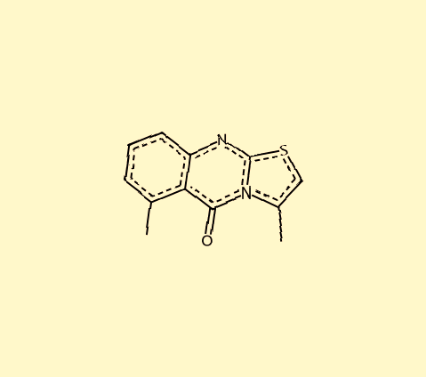 Cc1cccc2nc3scc(C)n3c(=O)c12